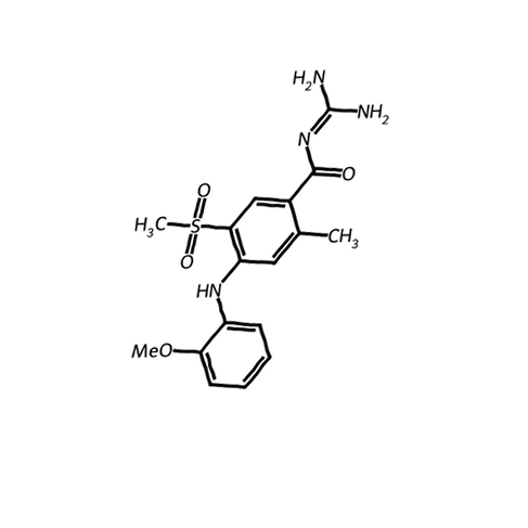 COc1ccccc1Nc1cc(C)c(C(=O)N=C(N)N)cc1S(C)(=O)=O